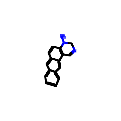 NN1CN=Cc2c1ccc1cc3ccccc3cc21